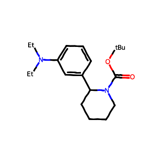 CCN(CC)c1cccc(C2CCCCN2C(=O)OC(C)(C)C)c1